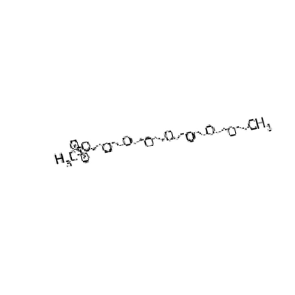 CCCOCCOCCOCCOCCOCCOCCOCCOS(C)(=O)=O